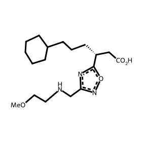 COCCNCc1noc([C@H](CCCC2CCCCC2)CC(=O)O)n1